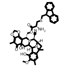 COc1c(C)cc2c(c1O)[C@H]1C3CC4(O)C(=O)C(C)=C5OCOC5=C4[C@H](COC(=O)[C@@H](N)CSCC4c5ccccc5-c5ccccc54)N3[C@@H](C#N)[C@H]3CC2(C)N31